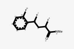 CNC(=O)C(F)CC(F)c1ccccc1F